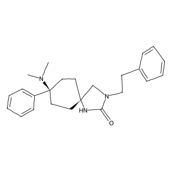 CN(C)[C@]1(c2ccccc2)CC[C@@]2(CC1)CN(CCc1ccccc1)C(=O)N2